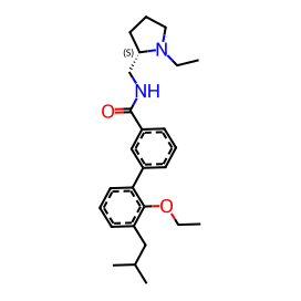 CCOc1c(CC(C)C)cccc1-c1cccc(C(=O)NC[C@@H]2CCCN2CC)c1